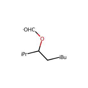 CCC(C)CC(O[C]=O)C(C)C